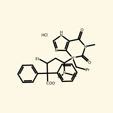 CCC(CC(N(CC)CC)[N+]1(CC(C)C)C(=O)N(C)C(=O)c2[nH]cnc21)C(C(=O)[O-])(c1ccccc1)c1ccccc1.Cl